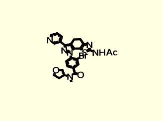 CC(=O)Nc1nc2c(s1)-c1c(c(-c3cccnc3)nn1-c1ccc(C(=O)N(C)C3CCOC3)cc1Br)CC2